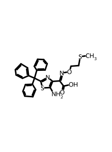 CSCCON=C(C(=O)O)c1nc(C(c2ccccc2)(c2ccccc2)c2ccccc2)sc1N